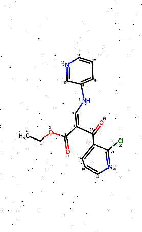 CCOC(=O)/C(=C/Nc1cccnc1)C(=O)c1cccnc1Cl